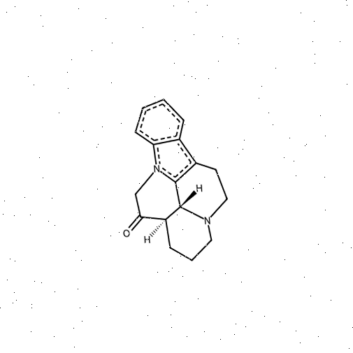 O=C1Cn2c3c(c4ccccc42)CCN2CCC[C@@H]1[C@H]32